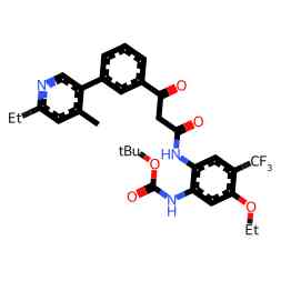 CCOc1cc(NC(=O)OC(C)(C)C)c(NC(=O)CC(=O)c2cccc(-c3cnc(CC)cc3C)c2)cc1C(F)(F)F